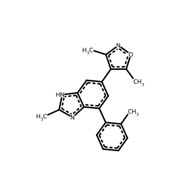 Cc1nc2c(-c3ccccc3C)cc(-c3c(C)noc3C)cc2[nH]1